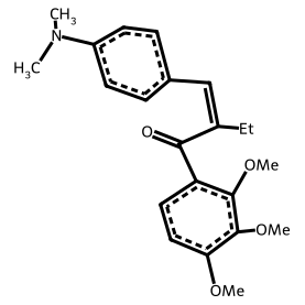 CCC(=Cc1ccc(N(C)C)cc1)C(=O)c1ccc(OC)c(OC)c1OC